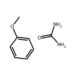 COc1ccccc1.NC(N)=O